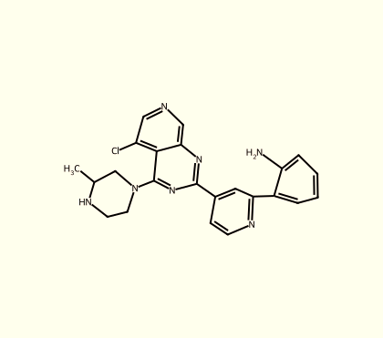 CC1CN(c2nc(-c3ccnc(-c4ccccc4N)c3)nc3cncc(Cl)c23)CCN1